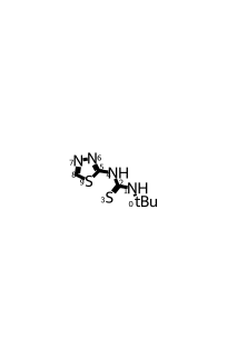 CC(C)(C)NC(=S)Nc1nncs1